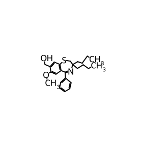 CCCCC1(CCCC)CSc2cc(CO)c(OC)cc2C(c2ccccc2)=N1